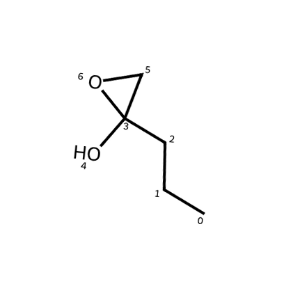 CCCC1(O)CO1